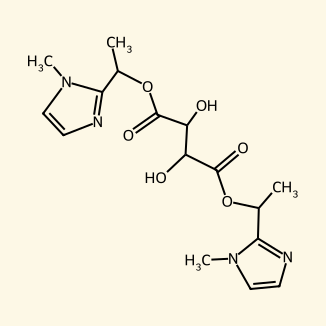 CC(OC(=O)C(O)C(O)C(=O)OC(C)c1nccn1C)c1nccn1C